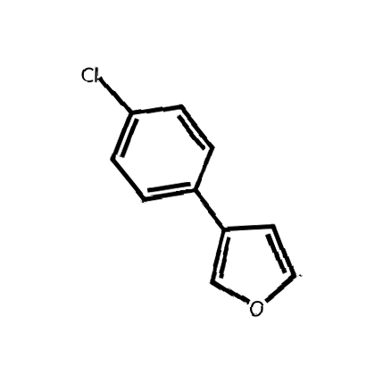 Clc1ccc(-c2c[c]oc2)cc1